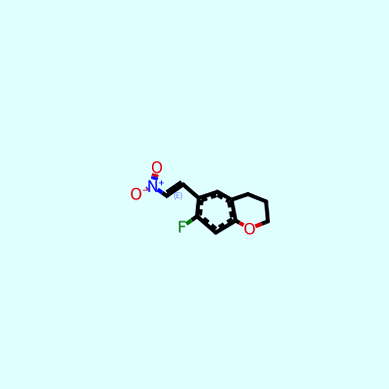 O=[N+]([O-])/C=C/c1cc2c(cc1F)OCCC2